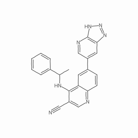 CC(Nc1c(C#N)cnc2ccc(-c3cnc4[nH]nnc4c3)cc12)c1ccccc1